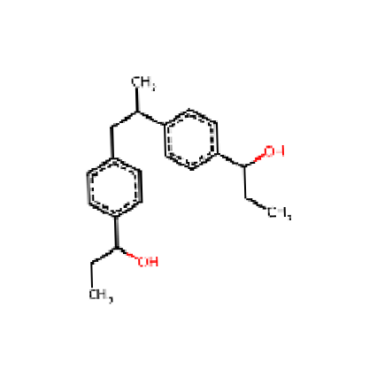 CCC(O)c1ccc(CC(C)c2ccc(C(O)CC)cc2)cc1